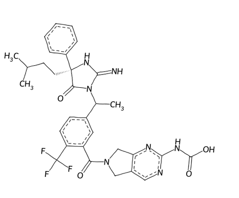 CC(C)CC[C@]1(c2ccccc2)NC(=N)N(C(C)c2ccc(C(F)(F)F)c(C(=O)N3Cc4cnc(NC(=O)O)nc4C3)c2)C1=O